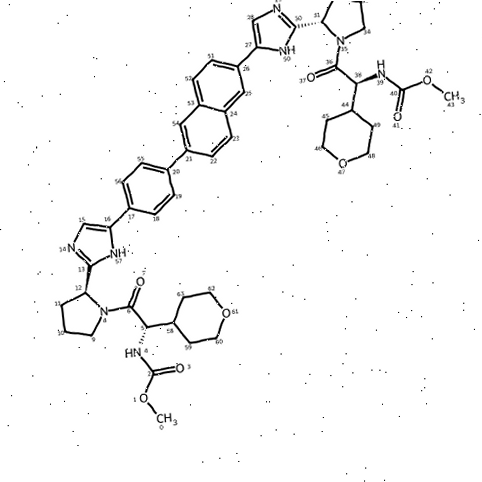 COC(=O)N[C@H](C(=O)N1CCC[C@H]1c1ncc(-c2ccc(-c3ccc4cc(-c5cnc([C@@H]6CCCN6C(=O)[C@@H](NC(=O)OC)C6CCOCC6)[nH]5)ccc4c3)cc2)[nH]1)C1CCOCC1